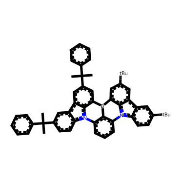 CC(C)(C)c1ccc2c(c1)c1cc(C(C)(C)C)cc3c1n2-c1cccc2c1B3c1cc(C(C)(C)c3ccccc3)cc3c4cc(C(C)(C)c5ccccc5)ccc4n-2c13